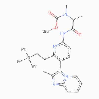 Cc1nc2ccccn2c1-c1ccc(NC(=O)C(C)N(C)C(=O)OC(C)(C)C)nc1CC[Si](C(C)C)(C(C)C)C(C)C